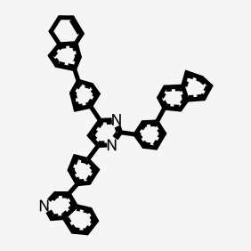 C1=Cc2cc(-c3ccc(-c4cc(-c5ccc(-c6cncc7ccccc67)cc5)nc(-c5cccc(-c6ccc7ccccc7c6)c5)n4)cc3)ccc2CC1